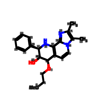 COCCO[C@@H]1c2ccn3c(C)c(C)nc3c2N[C@H](c2ccccc2)[C@@H]1O